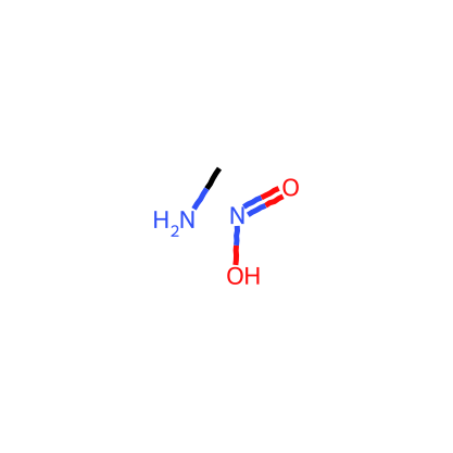 CN.O=NO